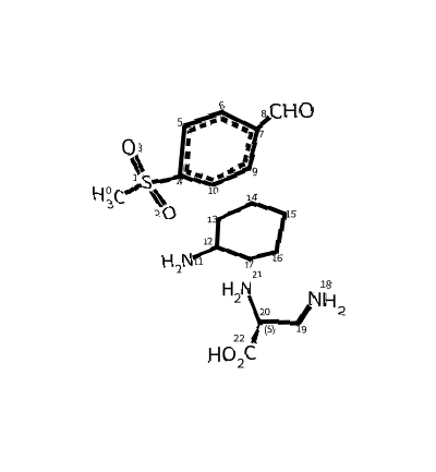 CS(=O)(=O)c1ccc(C=O)cc1.NC1CCCCC1.NC[C@H](N)C(=O)O